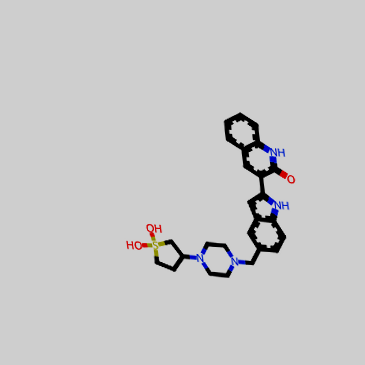 O=c1[nH]c2ccccc2cc1-c1cc2cc(CN3CCN(C4CCS(O)(O)C4)CC3)ccc2[nH]1